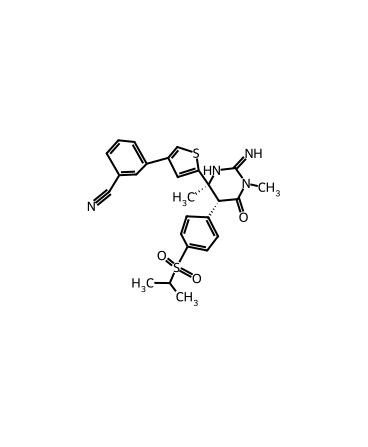 CC(C)S(=O)(=O)c1ccc([C@H]2C(=O)N(C)C(=N)N[C@]2(C)c2cc(-c3cccc(C#N)c3)cs2)cc1